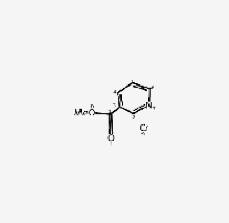 COC(=O)c1cccnc1.[Cr]